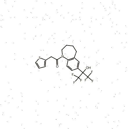 O=C(Cc1cccs1)N1CCCCc2cc(C(O)(C(F)(F)F)C(F)(F)F)ccc21